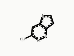 Oc1cc2sccc2nn1